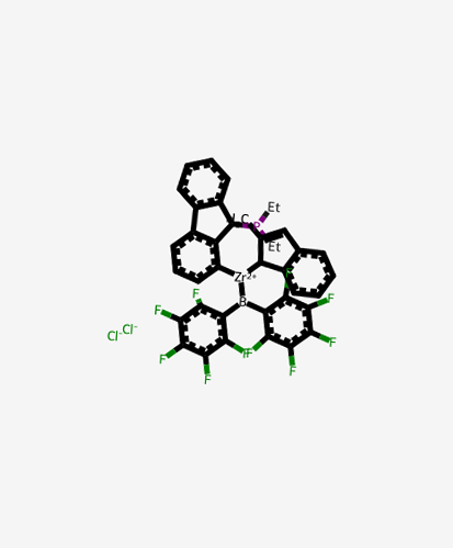 CCP(CC)C1c2ccccc2-c2ccc[c]([Zr+2]([B](c3c(F)c(F)c(F)c(F)c3F)c3c(F)c(F)c(F)c(F)c3F)[CH]3C(C)=Cc4ccccc43)c21.[Cl-].[Cl-]